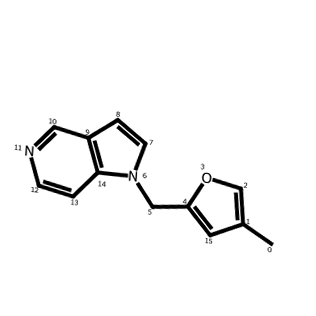 Cc1coc(Cn2ccc3cnccc32)c1